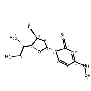 CC(=O)O[C@@H](CO)[C@H]1O[C@@H](n2ccc(NO)nc2=O)C[C@@H]1F